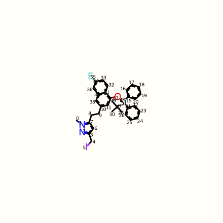 Cn1nc(CI)cc1CCc1cc(O[Si](c2ccccc2)(c2ccccc2)C(C)(C)C)c2ccc(F)cc2c1